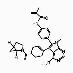 C=C(C)C(=O)Nc1ccc(-c2c(C3=CC[C@@H](C(=O)N4CC[C@H]5C[C@H]54)CC3)c3c(N)ncnc3n2C)cc1